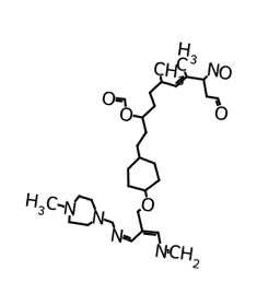 C=N/C=C(\C=N/CN1CCN(C)CC1)COC1CCC(CCC(CCC(C)/C=C(\C)C(CC=O)N=O)OC=O)CC1